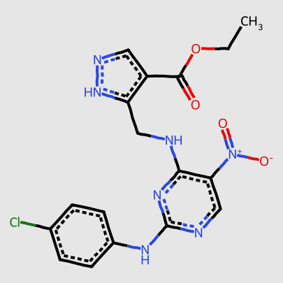 CCOC(=O)c1cn[nH]c1CNc1nc(Nc2ccc(Cl)cc2)ncc1[N+](=O)[O-]